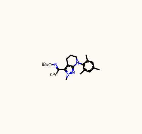 CCCC(=NOCC(C)C)c1c2c(nn1C)N(c1c(C)cc(C)cc1C)CCC2